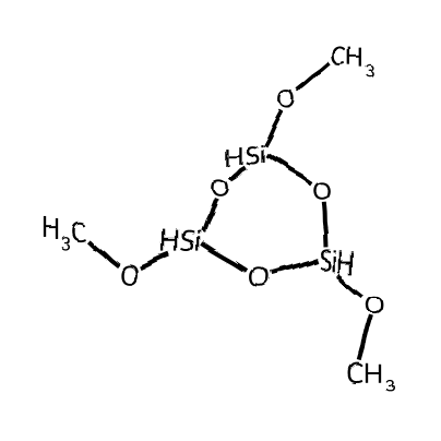 CO[SiH]1O[SiH](OC)O[SiH](OC)O1